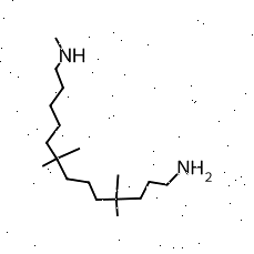 CNCCCCCC(C)(C)CCCC(C)(C)CCCN